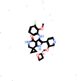 COc1c(F)cccc1Nc1c(-c2ccncc2OC[C@@H]2CCO2)[nH]c2c1C(=O)NCC21CC1